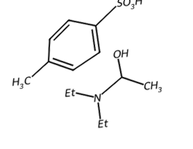 CCN(CC)C(C)O.Cc1ccc(S(=O)(=O)O)cc1